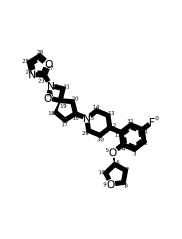 Fc1ccc(O[C@@H]2CCOC2)c(C2CCN(C3CC[C@]4(C3)CN(c3ncco3)O4)CC2)c1